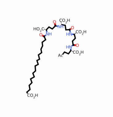 CC(=O)CC[C@H](NC(=O)CC[C@H](NC(=O)CC[C@H](NC(=O)CC[C@H](NC(=O)CCCCCCCCCCCCCCCCCCC(=O)O)C(=O)O)C(=O)O)C(=O)O)C(=O)O